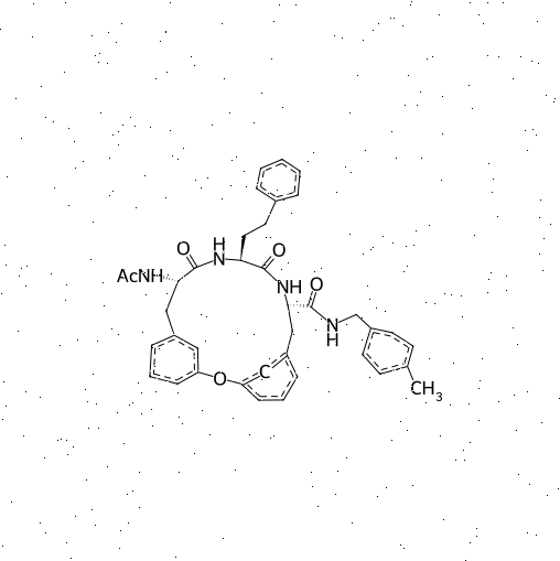 CC(=O)N[C@H]1Cc2cccc(c2)Oc2cccc(c2)C[C@@H](C(=O)NCc2ccc(C)cc2)NC(=O)[C@H](CCc2ccccc2)NC1=O